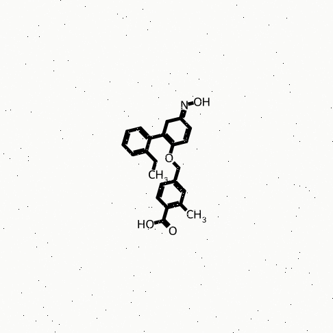 CCc1ccccc1C1=C(OCc2ccc(C(=O)O)c(C)c2)C=CC(=NO)C1